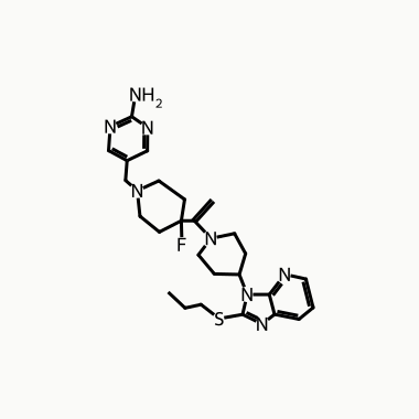 C=C(N1CCC(n2c(SCCC)nc3cccnc32)CC1)C1(F)CCN(Cc2cnc(N)nc2)CC1